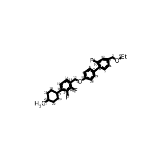 CCOCc1ccc(-c2ccc(OCc3ccc(C4CCC(C)CC4)c(F)c3F)cc2)c(F)c1